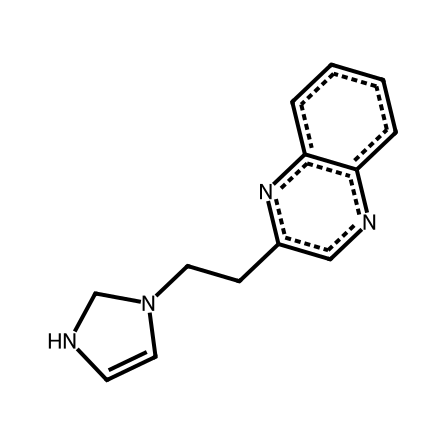 C1=CN(CCc2cnc3ccccc3n2)CN1